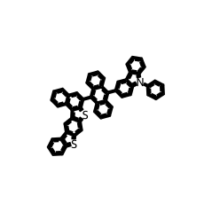 c1ccc(-n2c3ccccc3c3cc(-c4c5ccccc5c(-c5cc6ccccc6c6c5sc5cc7sc8ccccc8c7cc56)c5ccccc45)ccc32)cc1